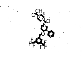 CC(=O)N1CCN(C(=O)N2CC[C@H](OCc3cc(C(F)(F)F)cc(C(F)(F)F)c3)[C@H](c3ccccc3)C2)CC1